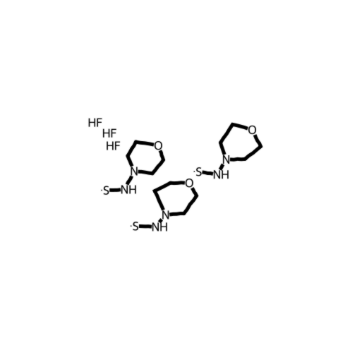 F.F.F.[S]NN1CCOCC1.[S]NN1CCOCC1.[S]NN1CCOCC1